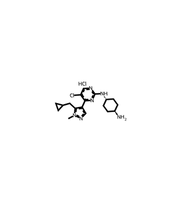 Cl.Cn1ncc(-c2nc(N[C@H]3CC[C@H](N)CC3)ncc2Cl)c1CC1CC1